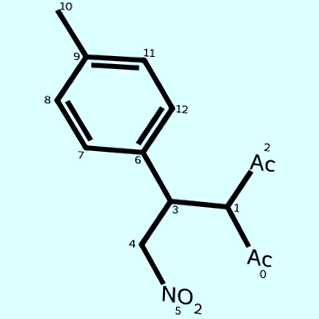 CC(=O)C(C(C)=O)C(C[N+](=O)[O-])c1ccc(C)cc1